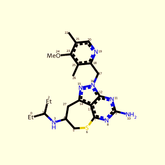 CCC(CC)NC1CSc2nc(N)nc3c2c(nn3Cc2ncc(C)c(OC)c2C)C1